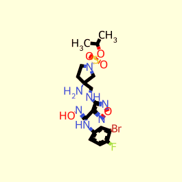 CC(C)OS(=O)(=O)N1CC[C@](N)(CNc2nonc2/C(=N/O)Nc2ccc(F)c(Br)c2)C1